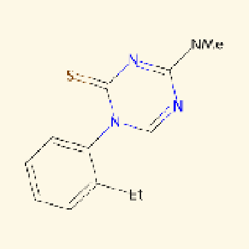 CCc1ccccc1-n1cnc(NC)nc1=S